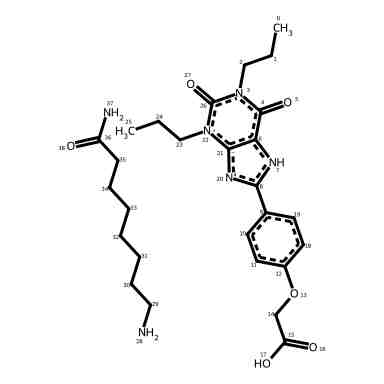 CCCn1c(=O)c2[nH]c(-c3ccc(OCC(=O)O)cc3)nc2n(CCC)c1=O.NCCCCCCCC(N)=O